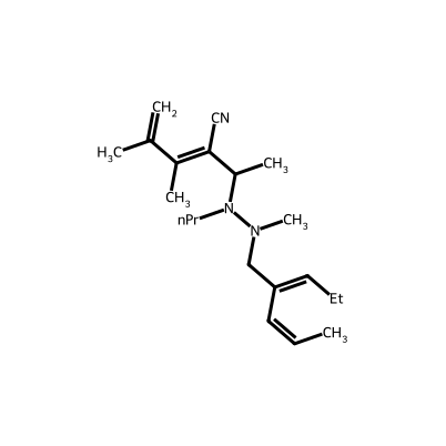 C=C(C)/C(C)=C(\C#N)C(C)N(CCC)N(C)CC(/C=C\C)=C/CC